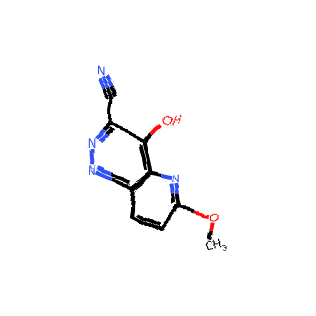 COc1ccc2nnc(C#N)c(O)c2n1